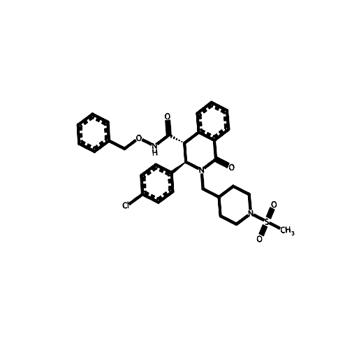 CS(=O)(=O)N1CCC(CN2C(=O)c3ccccc3[C@@H](C(=O)NOCc3ccccc3)[C@@H]2c2ccc(Cl)cc2)CC1